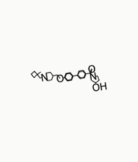 CC1(CN2CCC(COc3ccc(-c4ccc(C(=O)N5CC[C@H](O)C5)cc4)cc3)CC2)CCC1